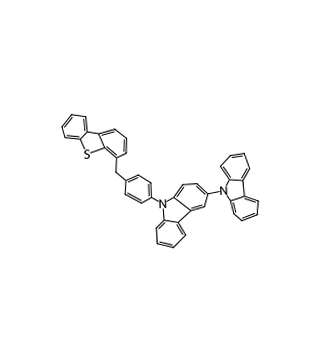 c1ccc2c(c1)sc1c(Cc3ccc(-n4c5ccccc5c5cc(-n6c7ccccc7c7ccccc76)ccc54)cc3)cccc12